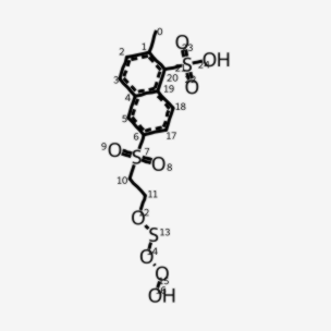 Cc1ccc2cc(S(=O)(=O)CCOSOOO)ccc2c1S(=O)(=O)O